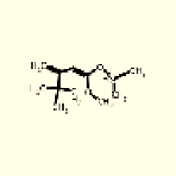 C=C(/C=C(\OC)O[SiH](C)C)C(C)(C)C